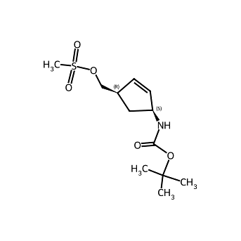 CC(C)(C)OC(=O)N[C@@H]1C=C[C@H](COS(C)(=O)=O)C1